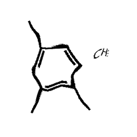 Cc1ccc(C)c(C)c1.[CH]